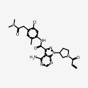 C=CC(=O)N1CCC(n2nc(C(=O)Nc3cc(Cl)c(CC(=O)N(C)C)cc3C)c3c(N)ncnc32)C1